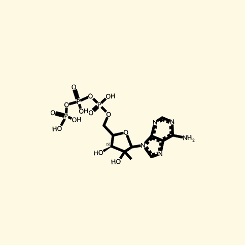 CC1(O)C(n2cnc3c(N)ncnc32)OC(COP(=O)(O)OP(=O)(O)OP(=O)(O)O)[C@@H]1O